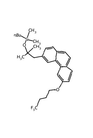 CCCC[Si](C)(C)OC(C)(C)Cc1ccc2ccc3ccc(OCCCC(F)(F)F)cc3c2c1